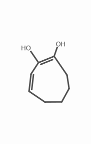 OC1=C(\O)CCCC/C=C\1